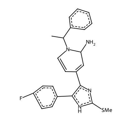 CSc1nc(C2=CC(N)N(C(C)c3ccccc3)C=C2)c(-c2ccc(F)cc2)[nH]1